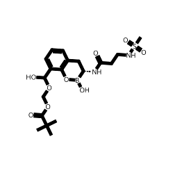 CC(C)(C)C(=O)OCOC(O)c1cccc2c1OB(O)[C@@H](NC(=O)CCNS(C)(=O)=O)C2